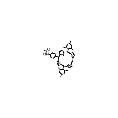 CC(=O)Nc1ccc(C2=C3C=CC(=N3)C(c3c(C)cc(C)cc3C)=C3C=CC(=N3)C=C3C=CC(=N3)C(c3c(C)cc(C)cc3C)=C3C=CC2=N3)cc1